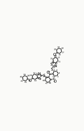 O=C1c2cccc(Sc3nc4ccc(Oc5ccccc5)cc4s3)c2C(=O)c2c(Sc3nc4ccc(Oc5ccccc5)cc4s3)cccc21